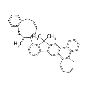 C=C1Sc2ccccc2C/C=C\C=C/1c1cccc2c1C(C)(C)c1cc3c(cc1-2)c1c(c2ccccc23)CC=CC=C1